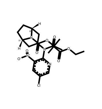 CCOC(=O)C(=O)N(c1ncc(Cl)cc1[N+](=O)[O-])C1C[C@H]2CC[C@@H](C1)N2C(=O)OC(C)(C)C